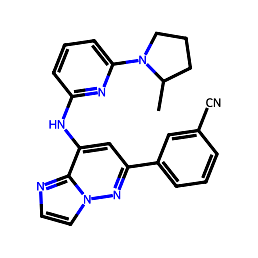 CC1CCCN1c1cccc(Nc2cc(-c3cccc(C#N)c3)nn3ccnc23)n1